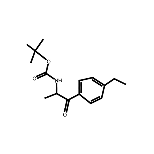 CCc1ccc(C(=O)C(C)NC(=O)OC(C)(C)C)cc1